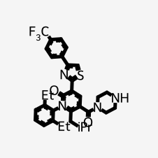 CCc1cccc(CC)c1-n1c(CC(C)C)c(C(=O)N2CCNCC2)cc(-c2nc(-c3ccc(C(F)(F)F)cc3)cs2)c1=O